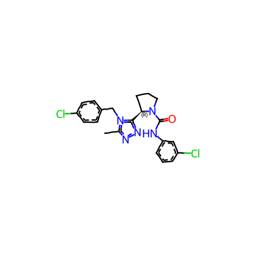 Cc1nnc([C@H]2CCCN2C(=O)Nc2cccc(Cl)c2)n1Cc1ccc(Cl)cc1